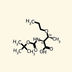 CCCO[C@@H](C)[C@H](NC(=O)OC(C)(C)C)C(=O)O